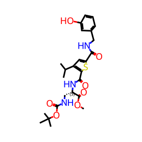 COC(=O)[C@H](CNC(=O)OC(C)(C)C)NC(=O)c1sc(C(=O)NCc2cccc(O)c2)cc1C(C)C